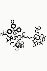 COc1ccc(C(OC[C@]2(COP(OCCC#N)N(C(C)C)C(C)C)CN(C(=O)CCCCO[C@@H]3O[C@H](COC(C)=O)[C@H](OC(C)=O)[C@H](OC(C)=O)[C@H]3NC(C)=O)C[C@H](n3cc(C)c(=O)[nH]c3=O)O2)(c2ccccc2)c2ccc(OC)cc2)cc1